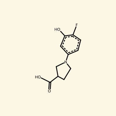 O=C(O)C1CCN(c2ccc(F)c(O)c2)C1